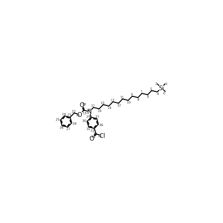 C[Si](C)(C)CCCCCCCCCCCCCCN(C(=O)OCc1ccccc1)c1ccc(C(=O)Cl)cc1